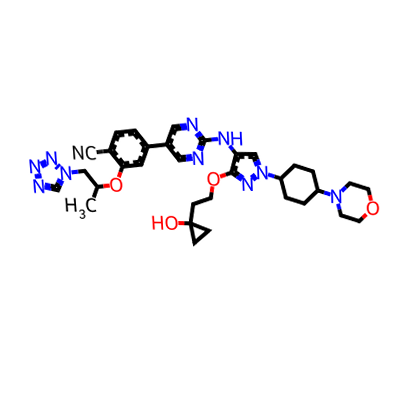 CC(Cn1cnnn1)Oc1cc(-c2cnc(Nc3cn(C4CCC(N5CCOCC5)CC4)nc3OCCC3(O)CC3)nc2)ccc1C#N